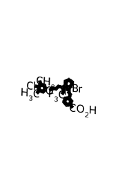 Cc1cc(OCCCc2c(C(F)(F)F)n(Cc3cccc(C(=O)O)c3)c3c(Br)cccc23)cc(C)c1Cl